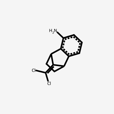 Nc1cccc2c1C1CCC2C1=C(Cl)Cl